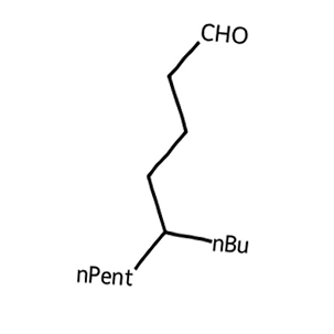 CCCCCC(CCCC)CCCC=O